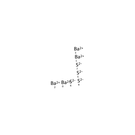 [Ba+2].[Ba+2].[Ba+2].[Ba+2].[S-2].[S-2].[S-2].[S-2]